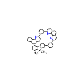 CC1(C)c2ccccc2-c2ccc(-c3cccc(-c4ccc5ccc6ccc(-c7cccc(-c8ccc9ccc%10ccccc%10c9n8)c7)nc6c5n4)c3)cc21